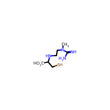 CN(CCNC(CS)C(=O)O)C(=N)N